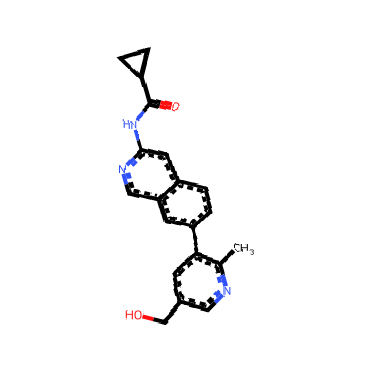 Cc1ncc(CO)cc1-c1ccc2cc(NC(=O)C3CC3)ncc2c1